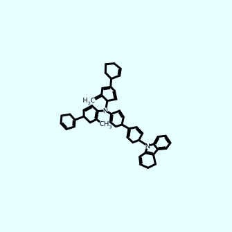 C=C1C=C(C2C=CCCC2)C=CC1N(C1=CCC(C2=CCC(n3c4c(c5ccccc53)CCC=C4)C=C2)C=C1)C1=C(C)CC(C2=CC=CCC2)C=C1